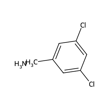 Cc1cc(Cl)cc(Cl)c1.N